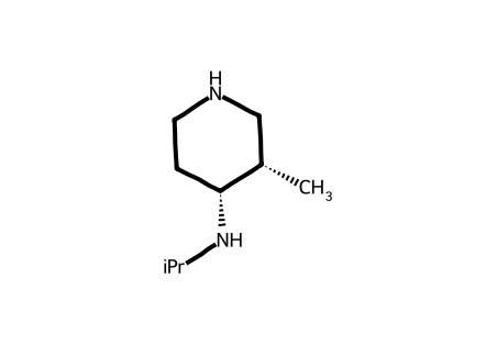 CC(C)N[C@@H]1CCNC[C@@H]1C